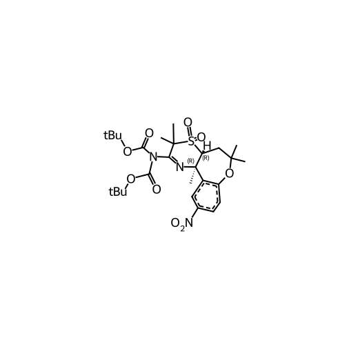 CC(C)(C)OC(=O)N(C(=O)OC(C)(C)C)C1=N[C@]2(C)c3cc([N+](=O)[O-])ccc3OC(C)(C)C[C@H]2S(=O)(=O)C1(C)C